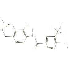 COc1ccc(C(=O)Nc2ccc3c(c2Br)CN(C)CC3)cc1C(F)(F)F